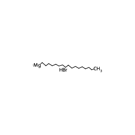 Br.CCCCCCCCCCCCCCCC[CH2][Mg]